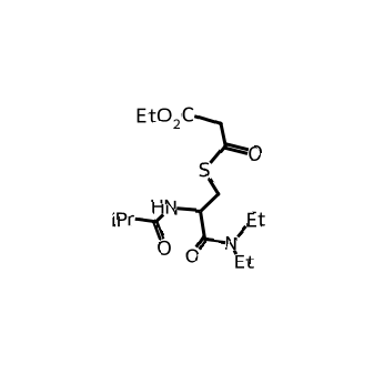 CCOC(=O)CC(=O)SCC(NC(=O)C(C)C)C(=O)N(CC)CC